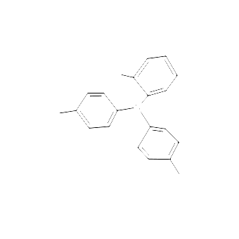 O=Cc1ccccc1N(c1ccc(Br)cc1)c1ccc(Br)cc1